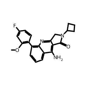 COc1cc(F)ccc1-c1cccc2c(N)c3c(nc12)CN(C1CCC1)C3=O